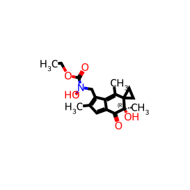 CCOC(=O)N(O)CC1=C(C)C=C2C(=O)[C@](C)(O)C3(CC3)C(C)=C21